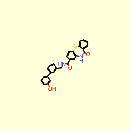 O=C(NCc1cccc(-c2cccc(O)c2)c1)c1ccc2c(c1)NC(=O)c1ccccc1S2